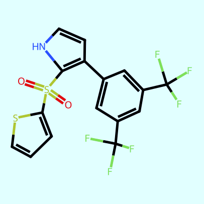 O=S(=O)(c1cccs1)c1[nH]ccc1-c1cc(C(F)(F)F)cc(C(F)(F)F)c1